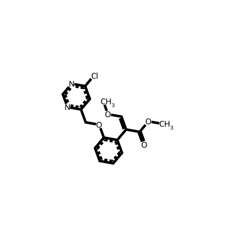 CO/C=C(/C(=O)OC)c1ccccc1OCc1cc(Cl)ncn1